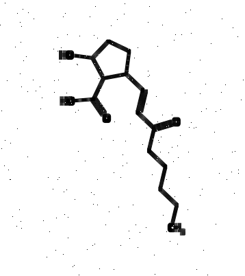 CCCCCC(=O)C=CC1CCC(O)C1C(=O)O